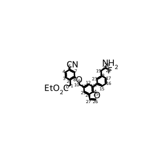 CCOC(=O)Cc1ccc(C#N)cc1OCc1cc(-c2cccc(C[C@@H](N)F)c2)c2occc2c1